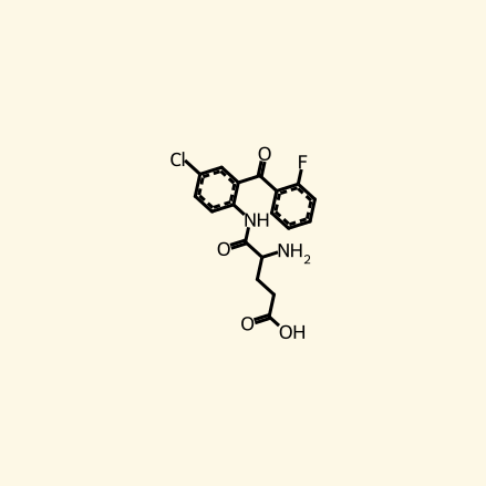 NC(CCC(=O)O)C(=O)Nc1ccc(Cl)cc1C(=O)c1ccccc1F